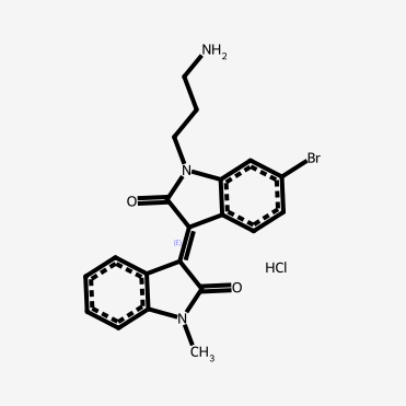 CN1C(=O)/C(=C2/C(=O)N(CCCN)c3cc(Br)ccc32)c2ccccc21.Cl